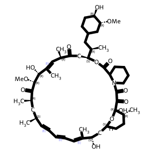 CO[C@@H]1CC(C[C@@H](C)[C@@H]2CC(=O)[C@H](C)/C=C(\C)[C@@H](O)[C@@H](OC)C(=O)[C@H](C)C[C@H](C)/C=C/C=C/C=C(\C)[C@@H](O)C[C@@H]3CC[C@@H](C)[C@@](O)(O3)C(=O)C(=O)N3CCCCC3C(=O)O2)CC[C@H]1O